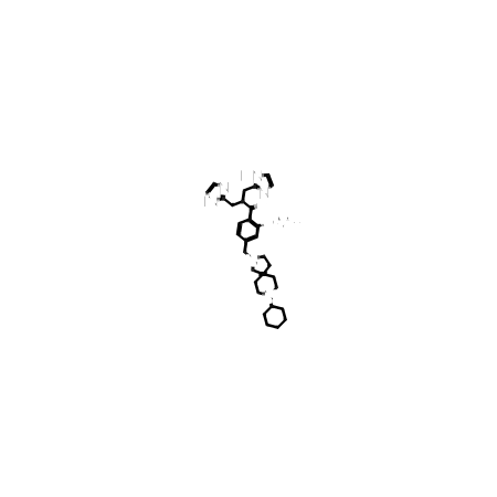 COc1cc(CN2CCC3(CCN(C4CCCCC4)CC3)C2)ccc1C(=O)C(Cc1ncc[nH]1)Cc1ncc[nH]1